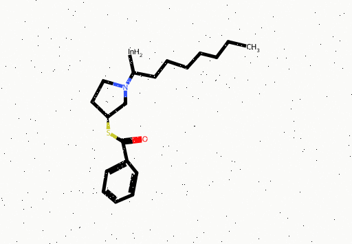 CCCCCCC[CH]([InH2])N1CC[C@H](SC(=O)c2ccccc2)C1